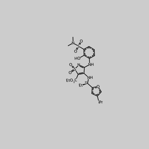 CCOC(=O)C1=C(N[C@H](CC)c2cc(C(C)C)co2)C(Nc2cccc(S(=O)(=O)N(C)C)c2O)=NS1(=O)=O